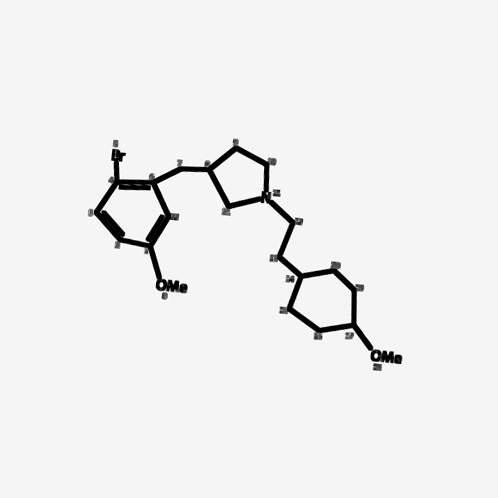 COc1ccc(Br)c(CC2CCN(CCC3CCC(OC)CC3)C2)c1